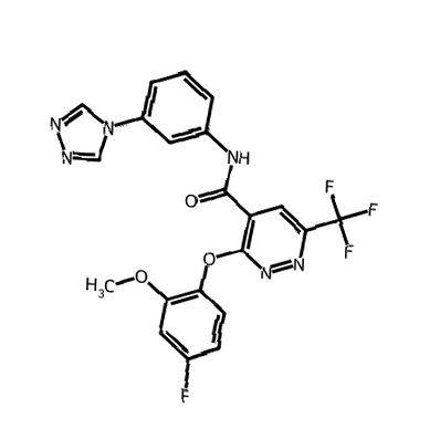 COc1cc(F)ccc1Oc1nnc(C(F)(F)F)cc1C(=O)Nc1cccc(-n2cnnc2)c1